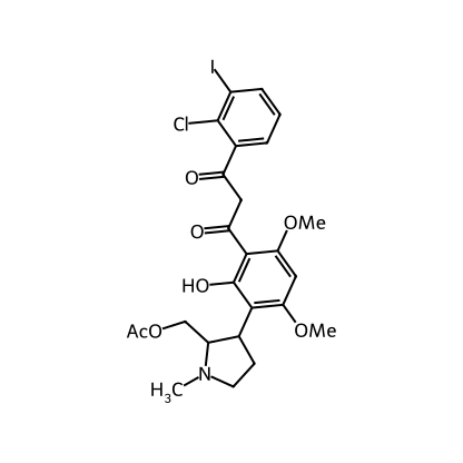 COc1cc(OC)c(C2CCN(C)C2COC(C)=O)c(O)c1C(=O)CC(=O)c1cccc(I)c1Cl